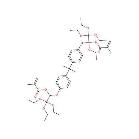 C=C(C)C(=O)OC(Oc1ccc(C(C)(C)c2ccc(OC(OCC)(OC(=O)C(=C)C)C(OCC)(OCC)OCC)cc2)cc1)C(OCC)(OCC)OCC